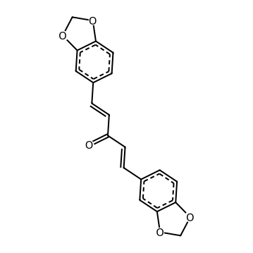 O=C(/C=C/c1ccc2c(c1)OCO2)/C=C/c1ccc2c(c1)OCO2